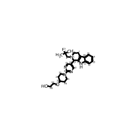 CC(C)(F)CN1CCc2c([nH]c3ccccc23)C1c1cnc(N2CCC(OCCO)CC2)nc1